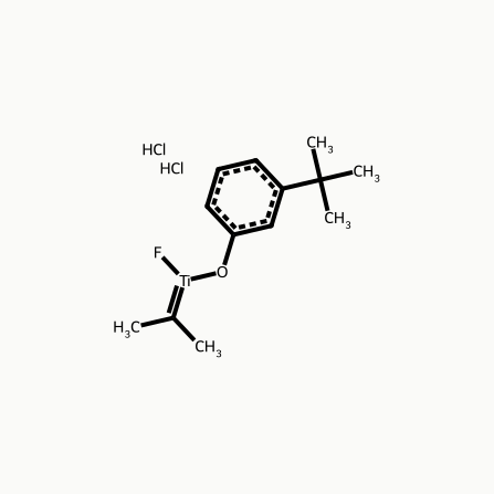 C[C](C)=[Ti]([F])[O]c1cccc(C(C)(C)C)c1.Cl.Cl